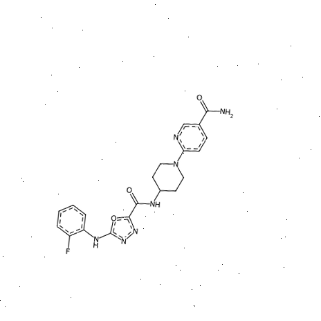 NC(=O)c1ccc(N2CCC(NC(=O)c3nnc(Nc4ccccc4F)o3)CC2)nc1